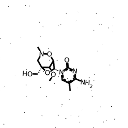 COC1C2ON(C)C[C@]1(CO)O[C@H]2n1cc(C)c(N)nc1=O